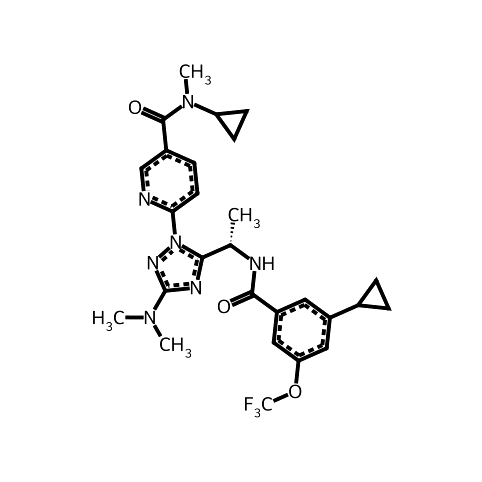 C[C@H](NC(=O)c1cc(OC(F)(F)F)cc(C2CC2)c1)c1nc(N(C)C)nn1-c1ccc(C(=O)N(C)C2CC2)cn1